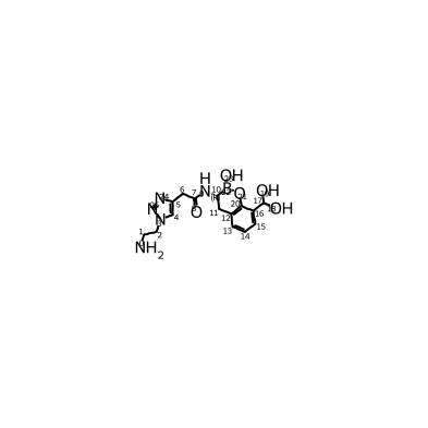 NCCn1cc(CC(=O)N[C@H]2Cc3cccc(C(O)O)c3OB2O)nn1